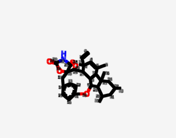 C=CC1(C)C=C(C)C2C3C(Oc4ccc(cc4)CC4(OC(=O)NC4=O)C(=O)C31)C1C(C)CC(C)CC21C